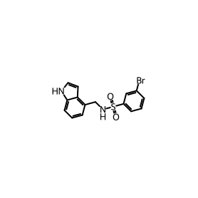 O=S(=O)(NCc1cccc2[nH]ccc12)c1cccc(Br)c1